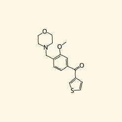 COc1cc(C(=O)c2ccsc2)ccc1CN1CCOCC1